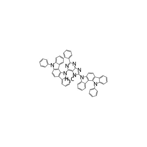 Cn1c(-n2c3ccccc3c3c2ccc2c4ccccc4n(-c4ccccc4)c23)nc2nc(-c3ccccc3)nc(-n3c4ccccc4c4ccc5c(c6ccccc6n5-c5ccccc5)c43)c21